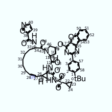 CC(C)(C)c1ccc(-c2nc(O[C@@H]3C[C@H]4C(=O)N[C@]5(C(=O)NS(=O)(=O)C6CC6)C[C@H]5/C=C\CCCCC[C@H](NC(=O)c5ccno5)C(=O)N4C3)c3oc4ccccc4c3n2)cc1